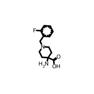 NC1(C(=O)O)CCN(Cc2ccccc2F)CC1